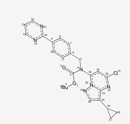 CC(C)(C)OC(=O)N(Cc1ccc(-c2ncccn2)cc1)c1cc(Cl)nc2c(C3CC3)cnn12